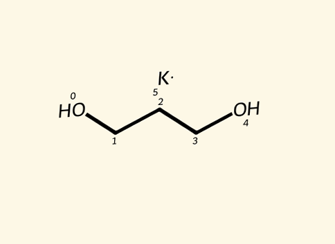 OCCCO.[K]